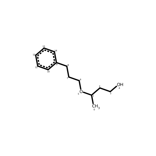 CC(CCO)OCCCc1ccccc1